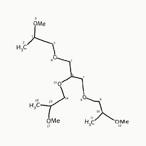 COC(C)COCC(COCC(C)OC)OCC(C)OC